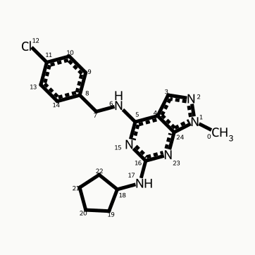 Cn1ncc2c(NCc3ccc(Cl)cc3)nc(NC3CCCC3)nc21